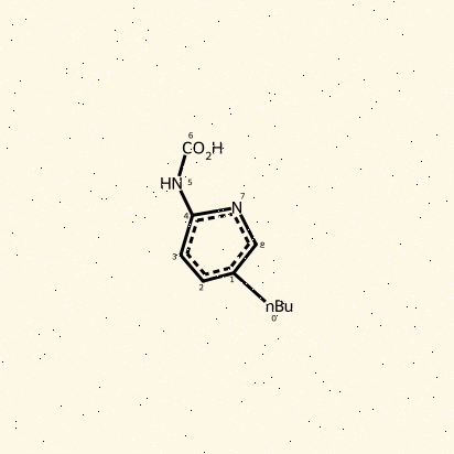 CCCCc1ccc(NC(=O)O)nc1